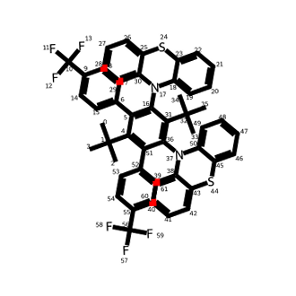 CC(C)(C)c1c(-c2ccc(C(F)(F)F)cc2)c(N2c3ccccc3Sc3ccccc32)c(C(C)(C)C)c(N2c3ccccc3Sc3ccccc32)c1-c1ccc(C(F)(F)F)cc1